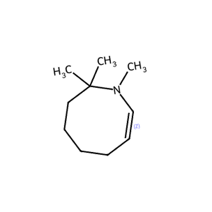 CN1/C=C\CCCCC1(C)C